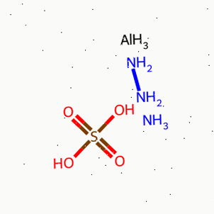 N.NN.O=S(=O)(O)O.[AlH3]